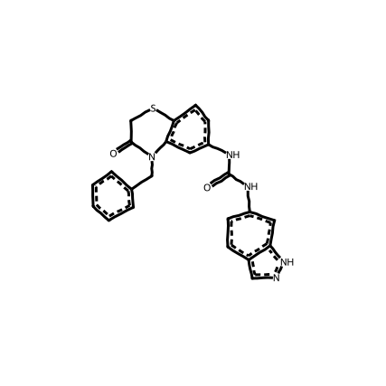 O=C(Nc1ccc2c(c1)N(Cc1ccccc1)C(=O)CS2)Nc1ccc2cn[nH]c2c1